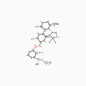 CC[C@@H](CC(=O)O)c1cccc(OCc2cc([C@H]3CCCC3(C)C)c(-c3cc(OC)ccc3F)cc2F)c1F